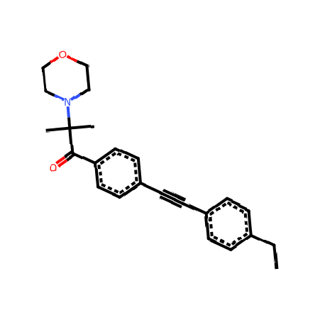 CCc1ccc(C#Cc2ccc(C(=O)C(C)(C)N3CCOCC3)cc2)cc1